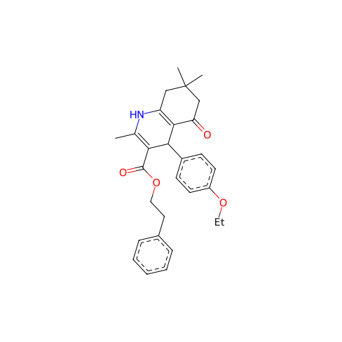 CCOc1ccc(C2C(C(=O)OCCc3ccccc3)=C(C)NC3=C2C(=O)CC(C)(C)C3)cc1